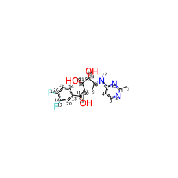 Cc1nccc(N(C)[C@@H]2C[C@H]([C@@H](O)c3ccc(F)c(F)c3)[C@@H](O)[C@H]2O)n1